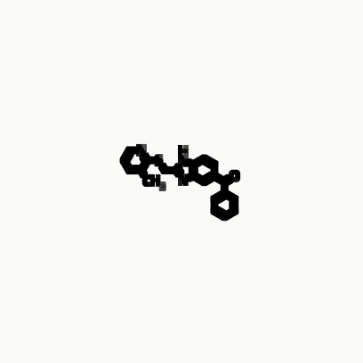 Cc1cccnc1SCc1nc2cc(C(=O)c3ccccc3)ccc2[nH]1